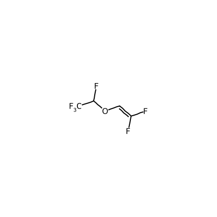 FC(F)=COC(F)C(F)(F)F